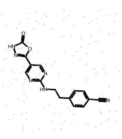 N#Cc1ccc(CCNc2ncc(-c3n[nH]c(=O)o3)cn2)cc1